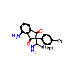 CCCCCCCC(N)C1(c2[c]cc(C(C)C)cc2)C(=O)c2cccc(N)c2C1=O